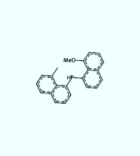 COc1cccc2cccc(Pc3cccc4cccc(C)c34)c12